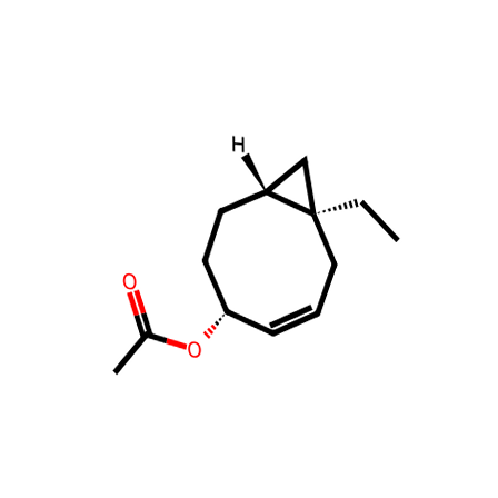 CC[C@]12C/C=C\[C@H](OC(C)=O)CC[C@@H]1C2